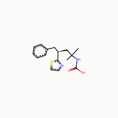 CC(C)(C[C@H](Cc1ccccc1)c1nccs1)NC(=O)O